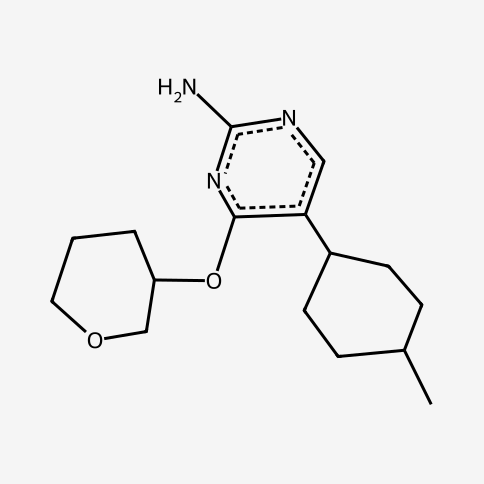 CC1CCC(c2cnc(N)nc2OC2CCCOC2)CC1